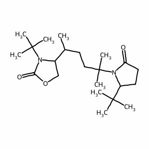 CC(CCC(C)(C)N1C(=O)CCC1C(C)(C)C)C1COC(=O)N1C(C)(C)C